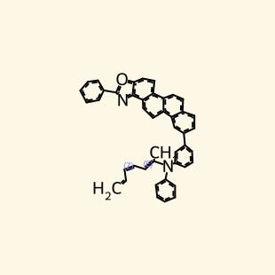 C=C/C=C\C=C(/C)N(c1ccccc1)c1cccc(-c2ccc3ccc4c(ccc5c4ccc4oc(-c6ccccc6)nc45)c3c2)c1